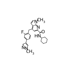 Cn1cc(-c2ccc(Cc3cc(C(=O)NC4CCCCC4)nc4c3ccn4C)c(F)c2)cn1